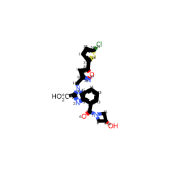 O=C(O)c1nc2c(C(=O)N3CC(O)C3)cccc2n1Cc1cc(-c2ccc(Cl)s2)on1